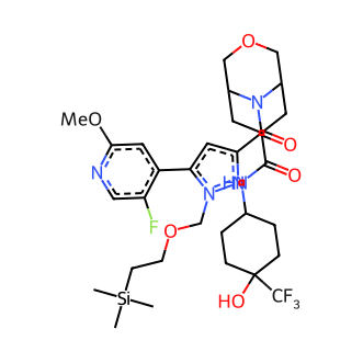 COc1cc(-c2cc(C(=O)N3C4COCC3CC(C(=O)NC3CCC(O)(C(F)(F)F)CC3)C4)nn2COCC[Si](C)(C)C)c(F)cn1